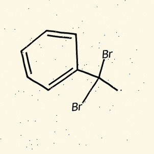 [CH2]C(Br)(Br)c1ccccc1